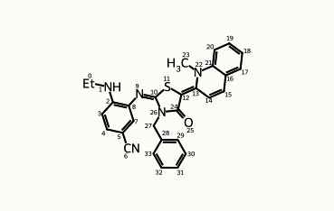 CCNc1ccc(C#N)cc1/N=C1/S/C(=C2/C=Cc3ccccc3N2C)C(=O)N1Cc1ccccc1